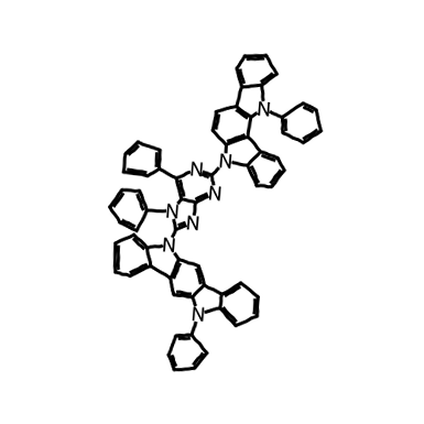 c1ccc(-c2nc(-n3c4ccccc4c4c3ccc3c5ccccc5n(-c5ccccc5)c34)nc3nc(-n4c5ccccc5c5cc6c(cc54)c4ccccc4n6-c4ccccc4)n(-c4ccccc4)c23)cc1